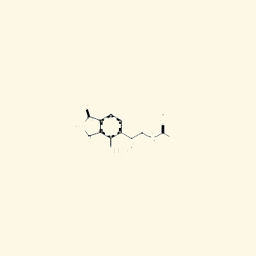 Cc1c([C@@H](F)CNC(=O)O)ccc2c1COC2=O